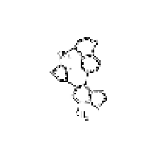 Cc1ccc(-c2nc(N)c3nccn3c2-c2ccc3nccc(C)c3c2)o1